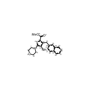 COC(=O)c1sc(N2CCOCC2)c(N)c1Cc1ccc2ccncc2c1